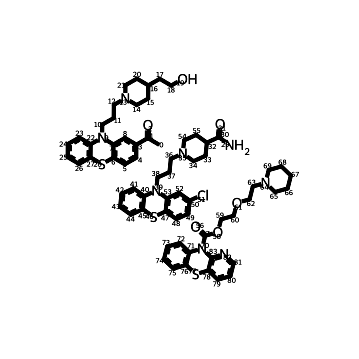 CC(=O)c1ccc2c(c1)N(CCCN1CCC(CCO)CC1)c1ccccc1S2.NC(=O)C1CCN(CCCN2c3ccccc3Sc3ccc(Cl)cc32)CC1.O=C(OCCOCCN1CCCCC1)N1c2ccccc2Sc2cccnc21